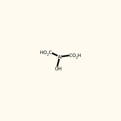 O=[C](O)[Al]([OH])[C](=O)O